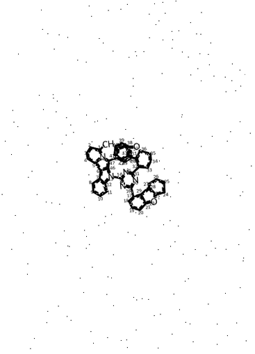 Cc1cccc2c3c4ccccc4n(-c4nc(-c5cccc6oc7ccccc7c56)nc(-c5cccc6oc7ccccc7c56)n4)c3c(-c3ccccc3)n12